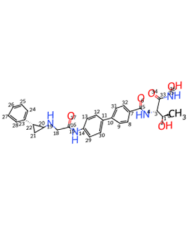 C[C@@H](O)[C@H](NC(=O)c1ccc(-c2ccc(NC(=O)CNC3C[C@@H]3c3ccccc3)cc2)cc1)C(=O)NO